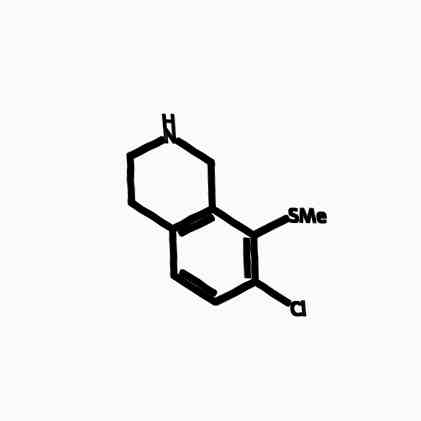 CSc1c(Cl)ccc2c1CNCC2